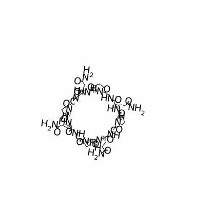 NC(=O)CC[C@@H]1NC(=O)[C@@H]2CCCN2C(=O)CNC(=O)[C@H](CCC(N)=O)NC(=O)[C@@H]2CCCN2C(=O)CNC(=O)[C@H](CCC(N)=O)NC(=O)[C@@H]2CCCN2C(=O)CNC(=O)[C@H](CCC(N)=O)NC(=O)[C@@H]2CCCN2C(=O)CNC1=O